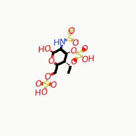 CC[C@@H]1C(COS(=O)(=O)O)O[C@@H](O)C(N[SH](=O)=O)[C@@H]1OS(=O)(=O)O